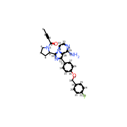 CC#CC(=O)N1CCCC1c1nc(-c2ccc(OCc3ccc(F)cc3)cc2)c2c(N)nccn12